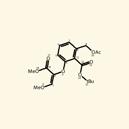 CO/C=C(/Oc1cccc(COC(C)=O)c1C(=O)OC(C)(C)C)C(=O)OC